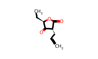 C=CC[C@H]1C(=O)O[C@H](CC)C1=O